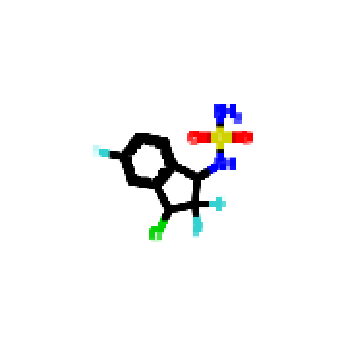 NS(=O)(=O)NC1c2ccc(F)cc2C(Cl)C1(F)F